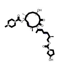 C/C(=C\C=C\[C@@H](C)COC(=O)N1CC[C@@H](O)C1)[C@H]1C(=O)C(=O)C[C@@H](O)CC[C@@H](C)[C@@H](OC(=O)N2CCN(C)CC2)/C=C/[C@@H]1C